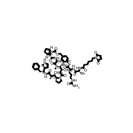 CC[C@H](C)[C@@H]([C@@H](CC(=O)N1CCC[C@H]1[C@H](OC)[C@@H](C)C(=O)N[C@@H](Cc1ccccc1)c1cc[nH]n1)OC)N(C)C(=O)[C@@H](NC(=O)[C@@H]1[C@H]2CC[C@H](C2)N1C(=O)OCc1ccc(NC(=O)[C@H](CCCNC(N)=O)NC(=O)[C@@H](NC(=O)CCCCCN2C(=O)C=CC2=O)C(C)C)cc1)C(C)C